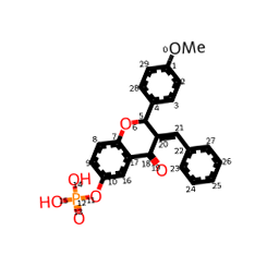 COc1ccc(C2Oc3ccc(OP(=O)(O)O)cc3C(=O)C2=Cc2ccccc2)cc1